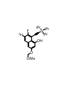 [2H]c1cc2cc(OCOC)cc(O)c2c(C#C[Si](C(C)C)(C(C)C)C(C)C)c1F